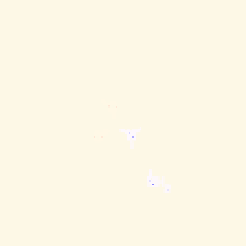 CCCCOC(=O)N1CCCC(N)C1c1ccccc1